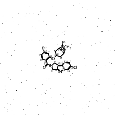 CN1C2CC(F)C1C[C@H](Oc1cc(F)ccc1C(=O)N1Cc3nn4cc(Cl)cnc4c3C1)C2